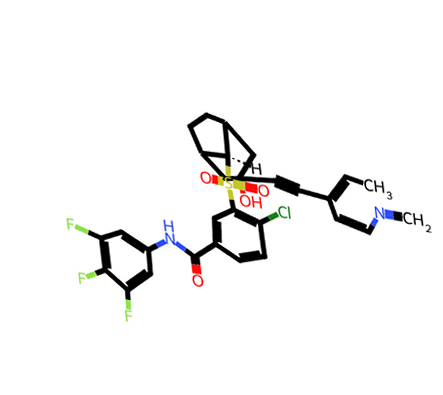 C=N/C=C\C(C#C[C@]1(O)CC2CCC(C1)[C@H]2S(=O)(=O)c1cc(C(=O)Nc2cc(F)c(F)c(F)c2)ccc1Cl)=C/C